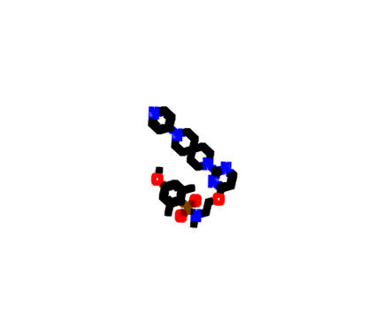 COc1cc(C)c(S(=O)(=O)N(C)CCOc2ccnc(N3CCC4(CCN(c5ccncc5)CC4)CC3)n2)c(C)c1